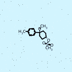 CO[C@]1(c2ccc(C)cc2)CC[C@@H](OS(C)(=O)=O)CC1